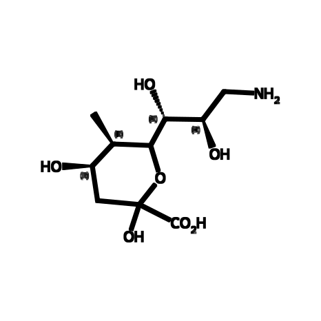 C[C@H]1C([C@H](O)[C@H](O)CN)OC(O)(C(=O)O)C[C@H]1O